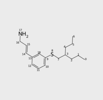 CCCC(CCC)CSc1cccc(C=CCN)c1